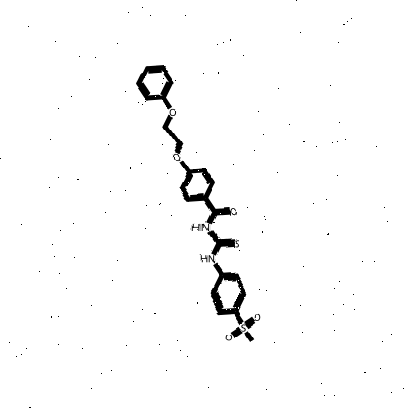 CS(=O)(=O)c1ccc(NC(=S)NC(=O)c2ccc(OCCOc3ccccc3)cc2)cc1